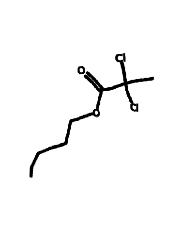 CCCCOC(=O)C(C)(Cl)Cl